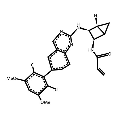 C=CC(=O)N[C@@H]1C2C[C@H]2[C@@H]1Nc1ncc2cc(-c3c(Cl)c(OC)cc(OC)c3Cl)ccc2n1